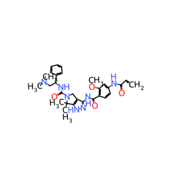 C=CC(=O)Nc1ccc(C(=O)Nc2n[nH]c3c2CN(C(=O)NC(CN(C)C)c2ccccc2)C3(C)C)c(OC)c1